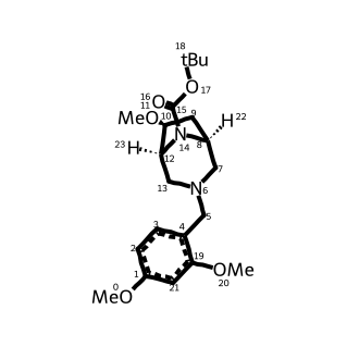 COc1ccc(CN2C[C@@H]3C[C@H](OC)[C@H](C2)N3C(=O)OC(C)(C)C)c(OC)c1